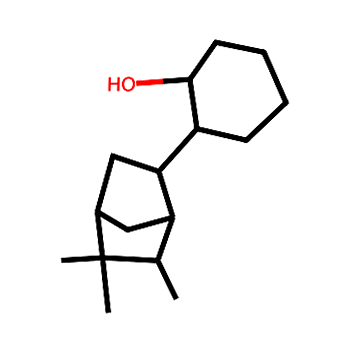 CC1C2CC(CC2C2CCCCC2O)C1(C)C